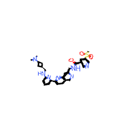 CN(C)[C@H]1C[C@@H](CNc2cccc(-c3ccc4cnc(CNC(=O)c5cncc(S(C)(=O)=O)c5)cc4n3)n2)C1